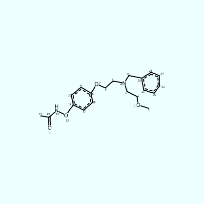 COCCN(CCOc1ccc(ONC(C)=O)cc1)Cc1ccccc1